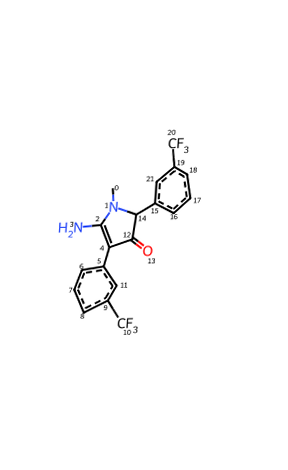 CN1C(N)=C(c2cccc(C(F)(F)F)c2)C(=O)C1c1cccc(C(F)(F)F)c1